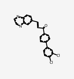 O=C(C=Cc1ccc2nccnc2c1)c1ccc(-c2ccc(Cl)c(Cl)c2)cc1